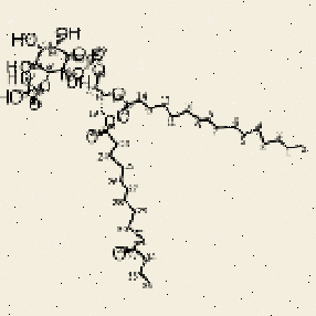 CCCCCCCCCCCCCCCC(=O)O[C@H](COC(=O)CCCCCCCCSC(=O)CCC)COP(=O)(O)OC1C(O)[C@@H](OP(=O)(O)O)C(O)[C@@H](O)[C@H]1O